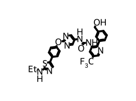 CCNc1ncc(-c2ccc(Oc3ncc(NC(=O)Nc4cc(C(F)(F)F)cnc4-c4cccc(CO)c4)cn3)cc2)s1